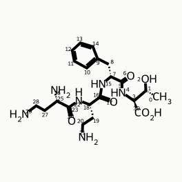 C[C@@H](O)[C@H](NC(=O)[C@@H](Cc1ccccc1)NC(=O)[C@H](CCN)NC(=O)[C@@H](N)CCN)C(=O)O